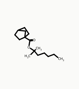 CCCCCC(C)(C)OC(=O)C12[CH]CC(CC1)C2